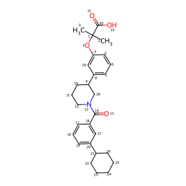 CC(C)(Oc1cccc(C2CCCN(C(=O)c3cccc(C4CCCCC4)c3)C2)c1)C(=O)O